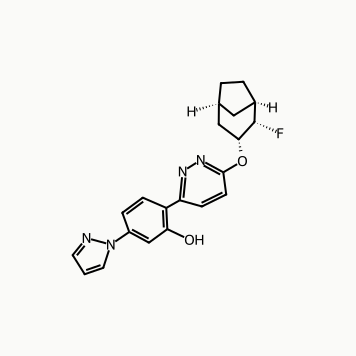 Oc1cc(-n2cccn2)ccc1-c1ccc(O[C@@H]2C[C@H]3CC[C@H](C3)[C@@H]2F)nn1